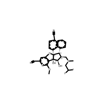 COc1nc(C#N)cc2c1[C@]1(O)[C@H](O)[C@H](CN(C)CC(F)F)[C@@H](c3ccccc3)[C@]1(c1ccc(C#N)cc1)O2